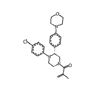 C=C(C)C(=O)N1CCN(c2ccc(Cl)cc2)[C@H](c2ccc(N3CCOCC3)cc2)C1